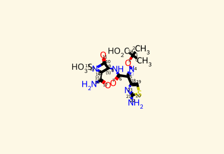 CC(C)(O/N=C(\C(=O)N[C@@H]1C(=O)N(S(=O)(=O)O)[C@@H]1C(N)=O)c1csc(N)n1)C(=O)O